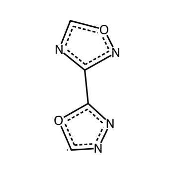 [c]1nnc(-c2ncon2)o1